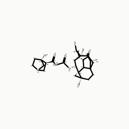 CO[C@@H]1CCC23CC[C@H]4C[C@@]4(C12)[C@H](OC(=O)NC(=O)[C@H]1CN2CC[C@@H]1C2)C[C@@](C)(CF)C(=O)[C@@H]3C